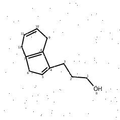 OCCCC1=CCC2=C1CC=CC2